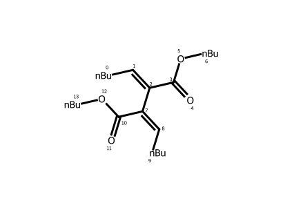 CCCCC=C(C(=O)OCCCC)C(=CCCCC)C(=O)OCCCC